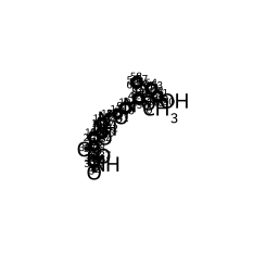 COc1cc(N2CCC3(CC2)C[C@H](CN2CCN4c5ccc6c(c5OC[C@H]4C2)CN([C@H]2CCC(=O)NC2=O)C6=O)CO3)ccc1[C@@H]1c2ccc(O)cc2CC[C@@H]1c1ccccc1